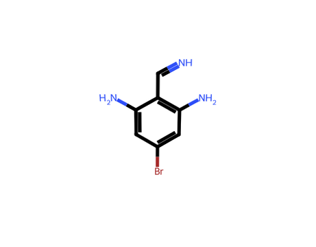 N=Cc1c(N)cc(Br)cc1N